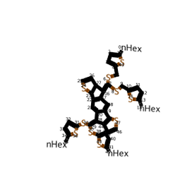 CCCCCCc1ccc(CSC(SCc2ccc(CCCCCC)s2)=C2c3cc4c(cc3C3SC=CC23)C(=C(Sc2ccc(CCCCCC)s2)Sc2ccc(CCCCCC)s2)c2ccsc2-4)s1